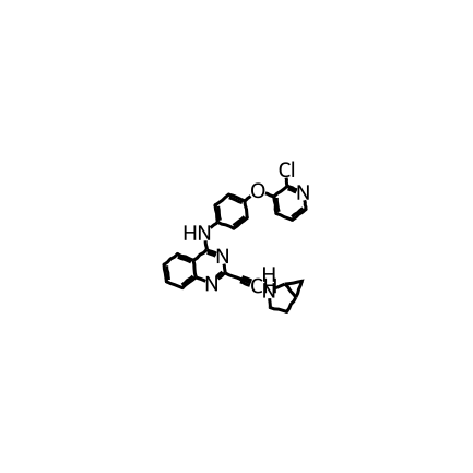 C#Cc1nc(Nc2ccc(Oc3cccnc3Cl)cc2)c2ccccc2n1.C1CC2CC2N1